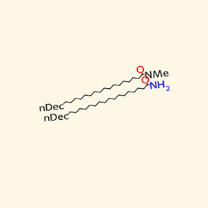 CCCCCCCCCCCCCCCCCCCCCCCCCCC(=O)NC.CCCCCCCCCCCCCCCCCCCCCCCCCCC(N)=O